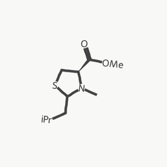 COC(=O)[C@@H]1CSC(CC(C)C)N1C